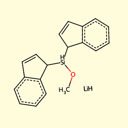 CO[SiH](C1C=Cc2ccccc21)C1C=Cc2ccccc21.[LiH]